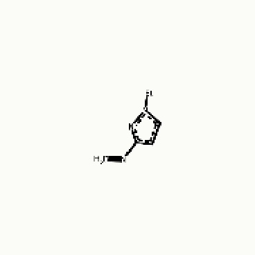 C=Nc1ccn(CC)n1